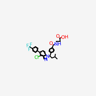 CC(C)CC(c1ccc(C(=O)NCCC(=O)O)cc1)n1ncc2c(Cl)c(-c3ccc(C(F)(F)F)cc3)ccc21